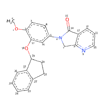 COc1ccc(N2Cc3ncccc3C2=O)cc1OC1CCc2ccccc21